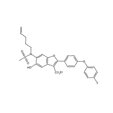 C=CCCCN(c1cc2oc(-c3ccc(Oc4ccc(F)cc4)cc3)c(C(=O)OCC)c2cc1O)S(C)(=O)=O